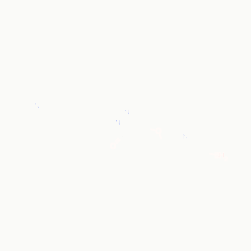 Bc1ccc(COc2cnn(CCc3ccc4c(c3)CCN(C)C4)c(=O)c2)nc1